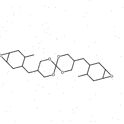 CC1CC2OC2CC1CC1COC2(OC1)OCC(CC1CC3OC3CC1C)CO2